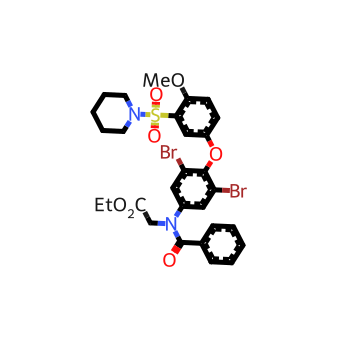 CCOC(=O)CN(C(=O)c1ccccc1)c1cc(Br)c(Oc2ccc(OC)c(S(=O)(=O)N3CCCCC3)c2)c(Br)c1